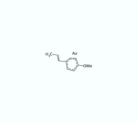 CC=Cc1ccc(OC)cc1.[Au]